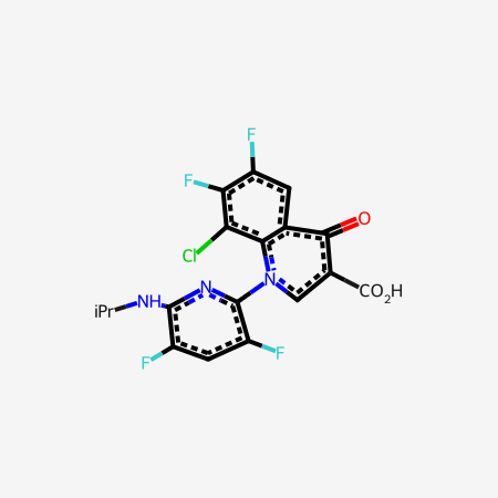 CC(C)Nc1nc(-n2cc(C(=O)O)c(=O)c3cc(F)c(F)c(Cl)c32)c(F)cc1F